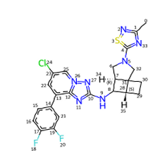 Cc1nsc(N2C[C@@H]3C(Nc4nc5c(-c6ccc(F)c(F)c6)cc(Cl)cn5n4)[C@H]4CCC43C2)n1